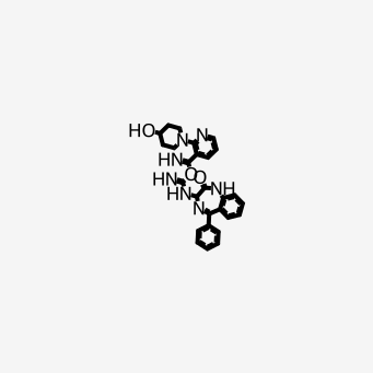 N=C(NC1N=C(c2ccccc2)c2ccccc2NC1=O)OC(=N)c1cccnc1N1CCC(O)CC1